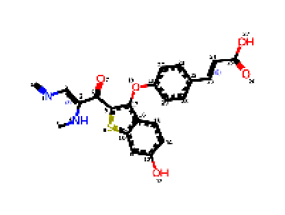 C=N/C=C(\NC)C(=O)c1sc2cc(O)ccc2c1Oc1ccc(/C=C/C(=O)O)cc1